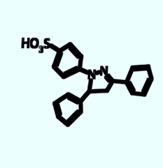 O=S(=O)(O)c1ccc(N2N=C(c3ccccc3)CC2c2ccccc2)cc1